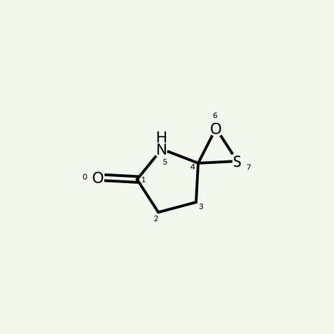 O=C1CCC2(N1)OS2